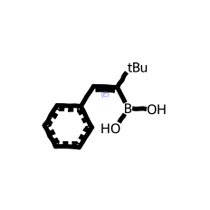 CC(C)(C)/C(=C/c1ccccc1)B(O)O